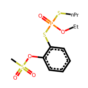 CCCSP(=O)(OCC)Sc1ccccc1OS(C)(=O)=O